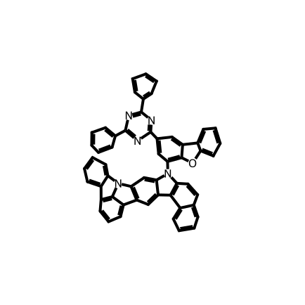 c1ccc(-c2nc(-c3ccccc3)nc(-c3cc(-n4c5cc6c(cc5c5c7ccccc7ccc54)c4cccc5c7ccccc7n6c54)c4oc5ccccc5c4c3)n2)cc1